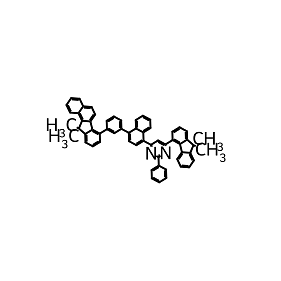 CC1(C)c2ccccc2-c2c(-c3cc(-c4ccc(-c5cccc(-c6cccc7c6-c6ccc8ccccc8c6C7(C)C)c5)c5ccccc45)nc(-c4ccccc4)n3)cccc21